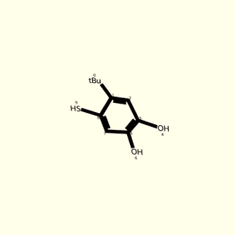 CC(C)(C)c1cc(O)c(O)cc1S